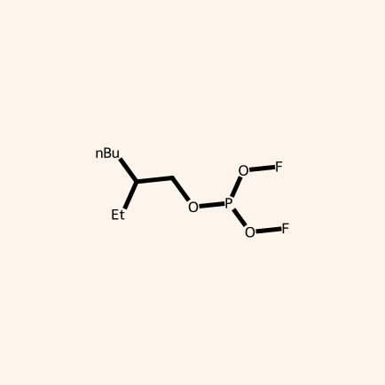 CCCCC(CC)COP(OF)OF